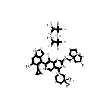 Cc1cc2[nH]ncc2c(-c2ncc3c(N4CCC[C@@](C)(O)C4)nc(OC[C@@]45CCCN4C[C@H](F)C5)nc3c2F)c1C1CC1.O=C(O)C(F)(F)F.O=C(O)C(F)(F)F